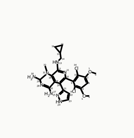 COc1cc(OC)c(Cl)c(-c2nc(NCC3CC3)c3c(c2-c2cc[nH]n2)C(N)=NC(N)N3C)c1Cl